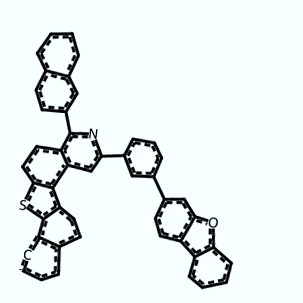 c1cc(-c2ccc3c(c2)oc2ccccc23)cc(-c2cc3c(ccc4sc5c6ccccc6ccc5c43)c(-c3ccc4ccccc4c3)n2)c1